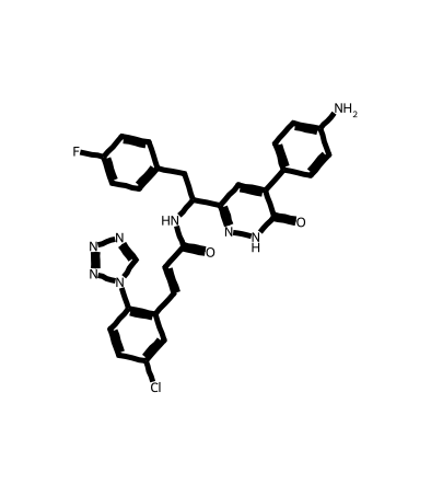 Nc1ccc(-c2cc(C(Cc3ccc(F)cc3)NC(=O)C=Cc3cc(Cl)ccc3-n3cnnn3)n[nH]c2=O)cc1